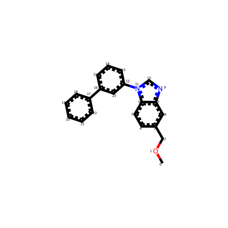 COCc1ccc2c(c1)ncn2-c1cccc(-c2ccccc2)c1